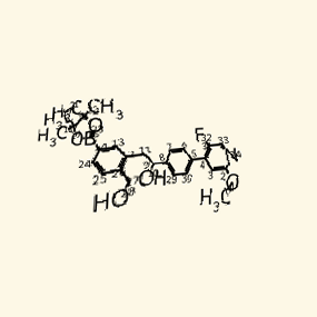 COc1cc(-c2ccc(C(O)Cc3cc(B4OC(C)(C)C(C)(C)O4)ccc3CO)cc2)c(F)cn1